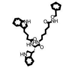 O=C(CCCCCNC(=O)[C@H](CC1CNc2ccccc21)NC(=O)CCCc1c[nH]c2ccccc12)NOCc1ccccc1